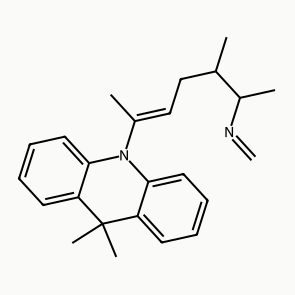 C=NC(C)C(C)C/C=C(\C)N1c2ccccc2C(C)(C)c2ccccc21